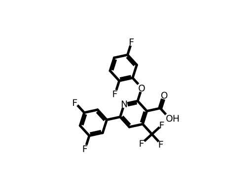 O=C(O)c1c(C(F)(F)F)cc(-c2cc(F)cc(F)c2)nc1Oc1cc(F)ccc1F